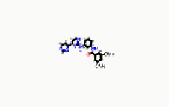 COc1cc(OC)cc(C(=O)Nc2cccc(Nc3nccc(-c4ccncn4)n3)c2)c1